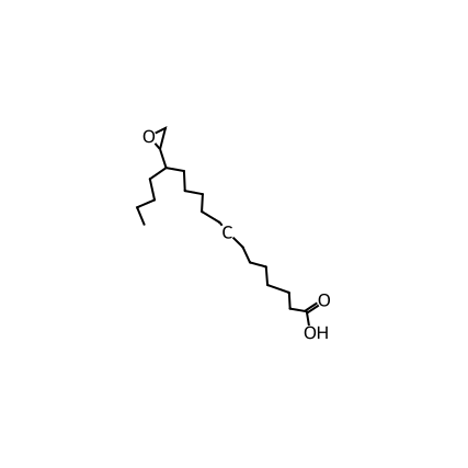 CCCCC(CCCCCCCCCCCCC(=O)O)C1CO1